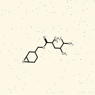 CC(CC(C)C(C)C)C(=O)OCC1CCC2OC2C1